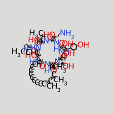 C[C@@H]1CCCCCCCCCN[C@H]2C[C@@H](O)[C@@H](OC[C@@H]3CC[N+]3(C)C)NC(=O)[C@@H]3[C@@H](O)[C@@H](C)CN3C(=O)[C@H]([C@H](O)CCN)NC(=O)[C@H]([C@H](O)[C@@H](O)c3ccc(O)cc3)NC(=O)[C@@H]3C[C@@H](O)CN3C(=O)[C@@H](NC2=O)[C@@H](C)OC[C@H](C)C1